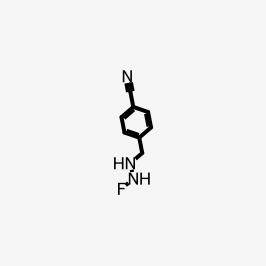 N#Cc1ccc(CNNF)cc1